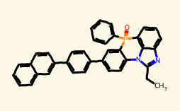 CCc1nc2cccc3c2n1-c1ccc(-c2ccc(-c4ccc5ccccc5c4)cc2)cc1P3(=O)c1ccccc1